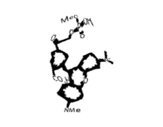 CNc1ccc2c(-c3cc(C(=O)COP(=O)(O)OC)ccc3C(=O)O)c3ccc(=[N+](C)C)cc-3oc2c1